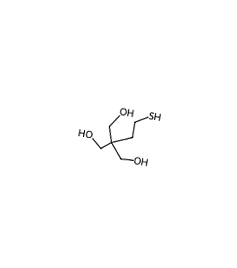 OCC(CO)(CO)CCS